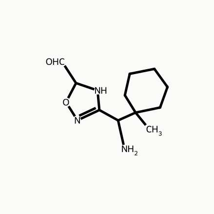 CC1(C(N)C2=NOC(C=O)N2)CCCCC1